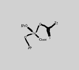 CCC(=S)O[Si](OC)(OC)OC(C)C